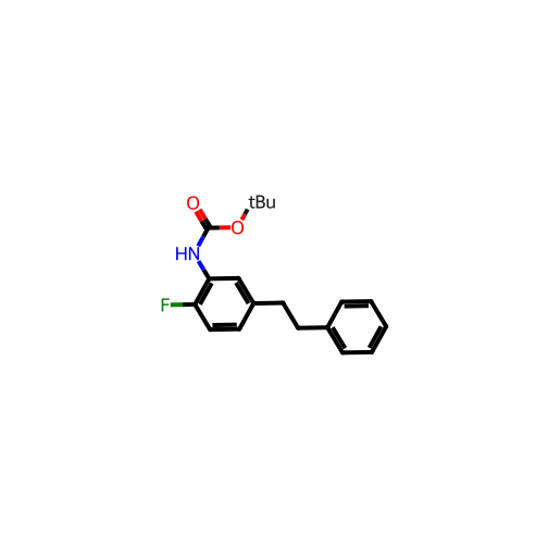 CC(C)(C)OC(=O)Nc1cc(CCc2ccccc2)ccc1F